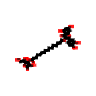 O=C(CCCCCCCCCCCCCCCOc1c(-c2ccc(O)c(O)c2)oc2cc(O)cc(O)c2c1=O)OC1=C(O)C(=O)O[C@@H]1[C@@H](O)CO